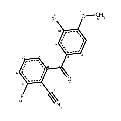 COc1ccc(C(=O)c2cccc(F)c2C#N)cc1Br